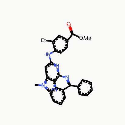 CCc1cc(C(=O)OC)ccc1Nc1cc2c(ncn2C)c(N=C(c2ccccc2)c2ccccc2)n1